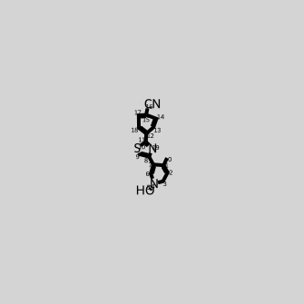 CC1=CCN(O)C=C1c1csc(-c2ccc(C#N)cc2)n1